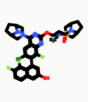 CN=S1(=O)CC2CCC(C1)N2CCCOc1nc(N2CC3CCC(C2)N3)c2cc(Cl)c(-c3cc(O)cc4ccc(F)c(F)c34)c(F)c2n1